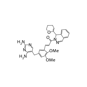 COc1cc(Cc2cnc(N)nc2N)cc(C=CC(=O)N2N=Cc3ccccc3C2C2=CCCCO2)c1OC